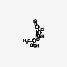 CCc1ccc(Oc2nc3nc(-c4ccc(N5CCCC5)cc4)c(Cl)cc3[nH]2)cc1C(=O)O